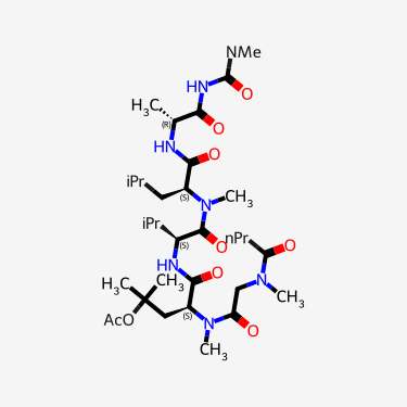 CCCC(=O)N(C)CC(=O)N(C)[C@@H](CC(C)(C)OC(C)=O)C(=O)N[C@H](C(=O)N(C)[C@@H](CC(C)C)C(=O)N[C@H](C)C(=O)NC(=O)NC)C(C)C